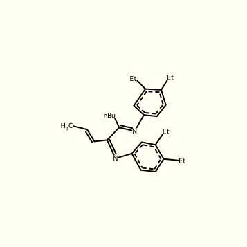 CC=CC(=Nc1ccc(CC)c(CC)c1)C(CCCC)=Nc1ccc(CC)c(CC)c1